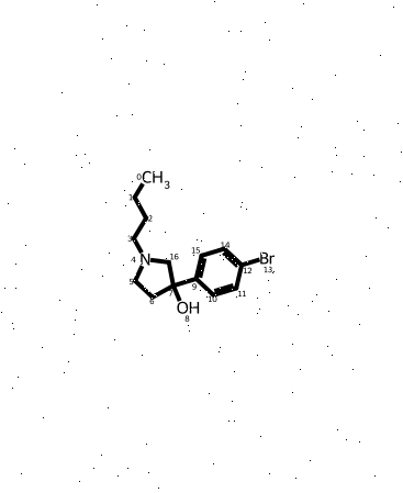 CCCCN1CCC(O)(c2ccc(Br)cc2)C1